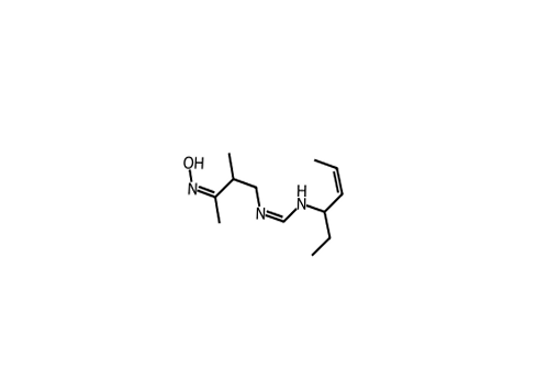 C/C=C\C(CC)N/C=N\CC(C)/C(C)=N\O